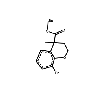 CC(C)(C)OC(=O)C1(C)CCOc2c(Br)cccc21